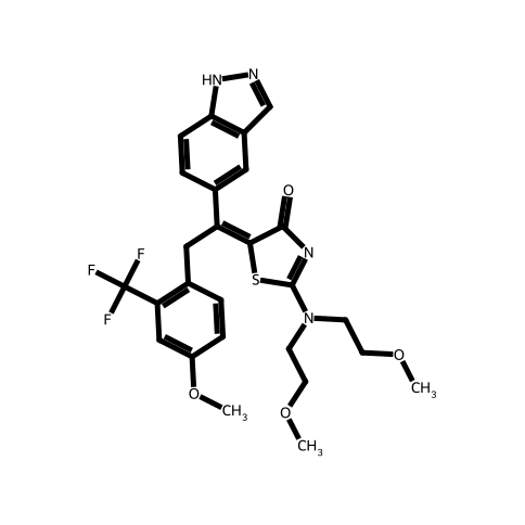 COCCN(CCOC)C1=NC(=O)C(=C(Cc2ccc(OC)cc2C(F)(F)F)c2ccc3[nH]ncc3c2)S1